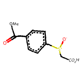 COC(=O)c1ccc([S+]([O-])CC(=O)O)cc1